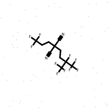 N#CC(C#N)(CCC(F)(F)F)CCC(F)(C(F)(F)F)C(F)(F)F